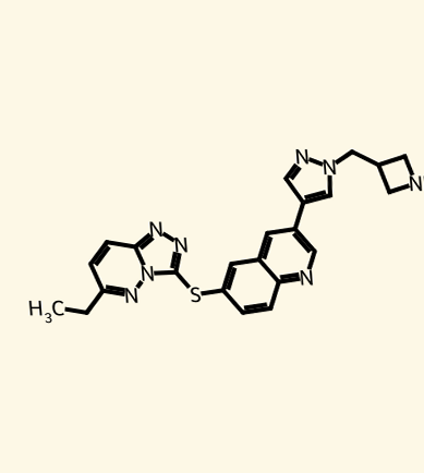 CCc1ccc2nnc(Sc3ccc4ncc(-c5cnn(CC6CNC6)c5)cc4c3)n2n1